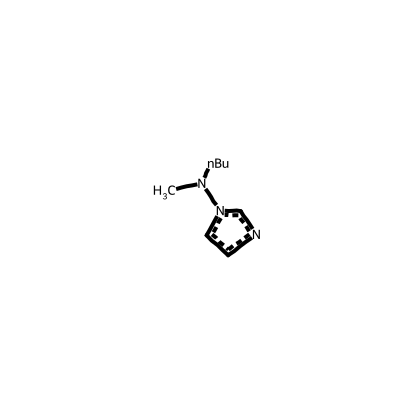 CCCCN(C)n1ccnc1